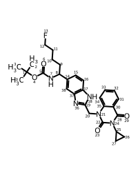 CC(C)(C)OC(=O)NC(CCCCF)c1ccc2[nH]c(Cn3c(=O)n(C4CC4)c(=O)c4ccccc43)nc2c1